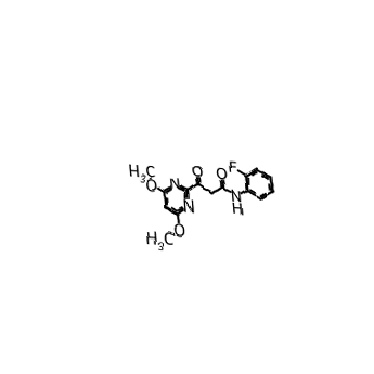 COc1cc(OC)nc(C(=O)CC(=O)Nc2ccccc2F)n1